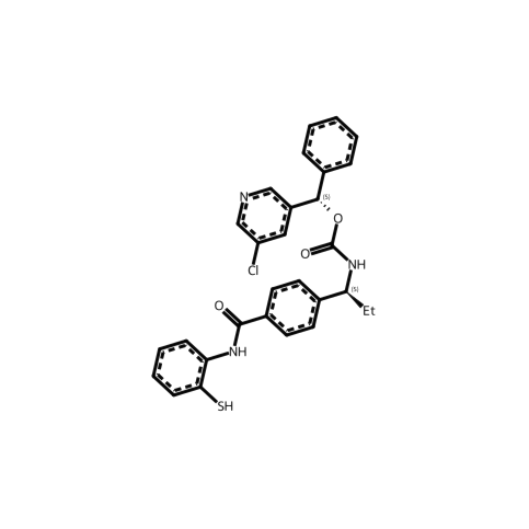 CC[C@H](NC(=O)O[C@@H](c1ccccc1)c1cncc(Cl)c1)c1ccc(C(=O)Nc2ccccc2S)cc1